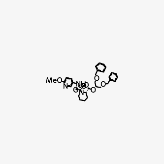 COc1ccc(NS(=O)(=O)N2CCCC[C@H]2C(=O)OC(COCc2ccccc2)COCc2ccccc2)cn1